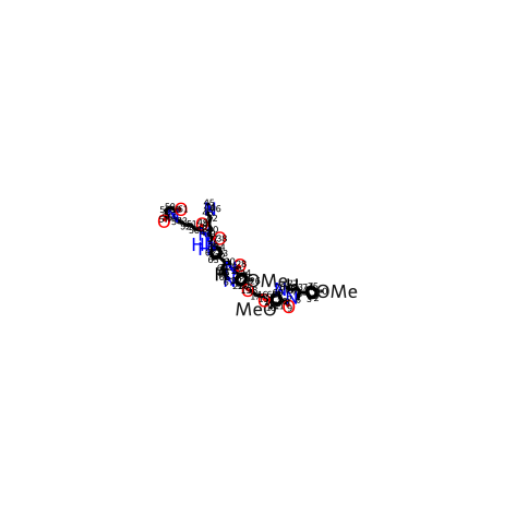 COc1ccc(C2=CN3C(=O)c4cc(OC)c(OCCCOc5cc6c(cc5OC)C(=O)N5C=C(c7ccc(NC(=O)C(CCCCN(C)C)NC(=O)CCCCCN8C(=O)C=CC8=O)cc7)C[C@H]5C=N6)cc4N=C[C@@H]3C2)cc1